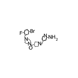 Nc1cc(CN2CCC(C(=O)N3CCN(Cc4cc(Br)ccc4F)CC3)CC2)ccn1